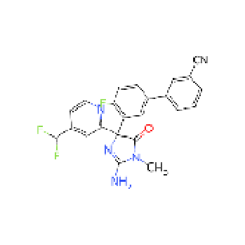 CN1C(=O)C(c2cc(C(F)F)ccn2)(c2cc(-c3cccc(C#N)c3)ccc2F)N=C1N